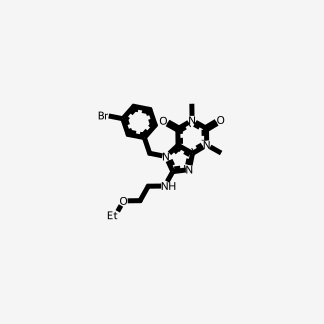 CCOCCNc1nc2c(c(=O)n(C)c(=O)n2C)n1Cc1cccc(Br)c1